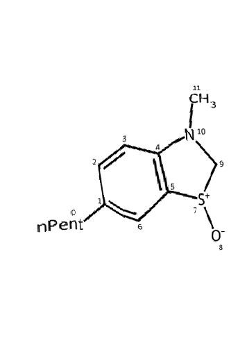 CCCCCc1ccc2c(c1)[S+]([O-])CN2C